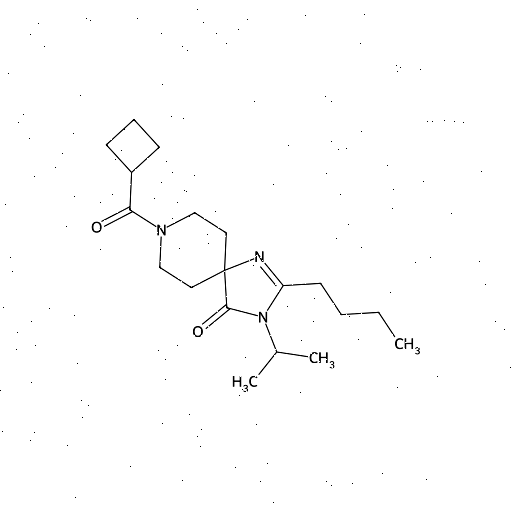 CCCCC1=NC2(CCN(C(=O)C3CCC3)CC2)C(=O)N1C(C)C